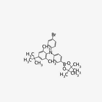 Cc1cc(C(C)(C)C)cc(C)c1N(c1ccc(Br)cc1)c1ccc(B2OC(C)(C)C(C)(C)O2)cc1